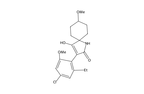 CCc1cc(Cl)cc(OC)c1C1=C(O)C2(CCC(OC)CC2)NC1=O